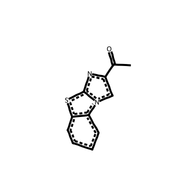 CC(=O)c1cn2c(n1)sc1ccccc12